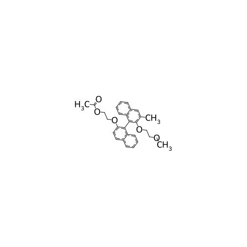 COCCOc1c(C)cc2ccccc2c1-c1c(OCCOC(C)=O)ccc2ccccc12